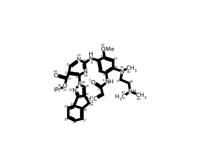 C=CC(=O)Nc1cc(Nc2ncc(C(=O)OC(C)C)c(-n3cc4c(n3)-c3ccccc3C4)n2)c(OC)cc1N(C)CCN(C)C